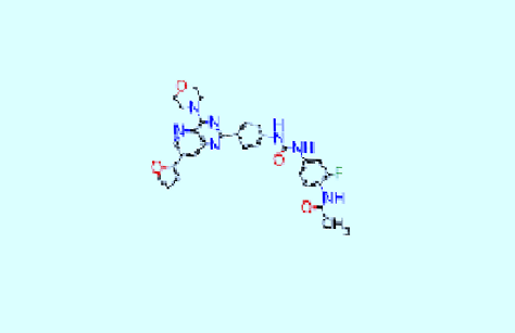 CC(=O)Nc1ccc(NC(=O)Nc2ccc(-c3nc(N4CCOCC4)c4ncc(-c5ccco5)cc4n3)cc2)cc1F